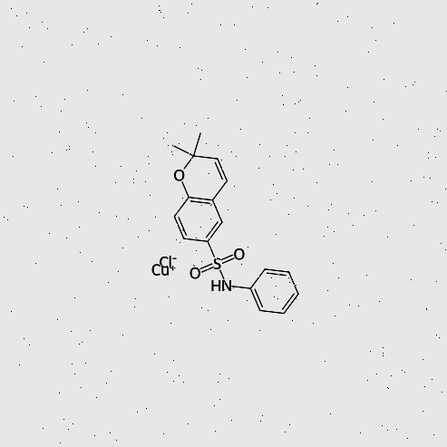 CC1(C)C=Cc2cc(S(=O)(=O)Nc3ccccc3)ccc2O1.[Cl-].[Cu+]